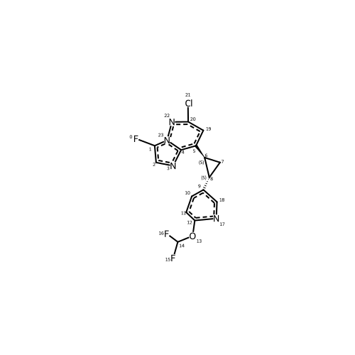 Fc1cnc2c([C@H]3C[C@@H]3c3ccc(OC(F)F)nc3)cc(Cl)nn12